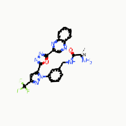 C[C@H](N)C(=O)NCc1cccc(-n2nc(C(F)(F)F)cc2-c2nnc(-c3cnc4ccccc4n3)o2)c1